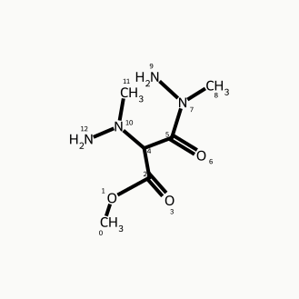 COC(=O)C(C(=O)N(C)N)N(C)N